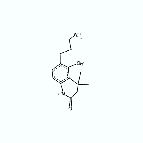 CC1(C)CC(=O)Nc2ccc(CCCN)c(O)c21